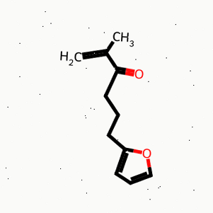 C=C(C)C(=O)CCCc1ccco1